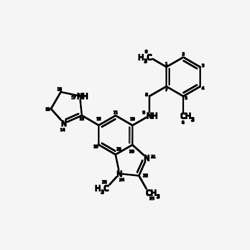 Cc1cccc(C)c1CNc1cc(C2=NCCN2)cc2c1nc(C)n2C